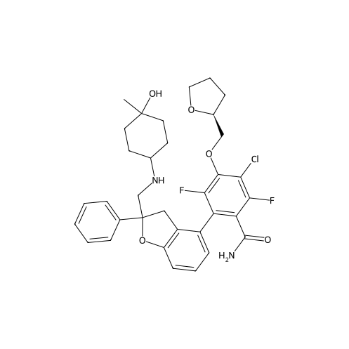 CC1(O)CCC(NCC2(c3ccccc3)Cc3c(cccc3-c3c(F)c(OC[C@@H]4CCCO4)c(Cl)c(F)c3C(N)=O)O2)CC1